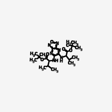 CC(C)C(Nc1nc2nonc2nc1NC(C(=O)OC(C)(C)C)C(C)C)C(=O)OC(C)(C)C